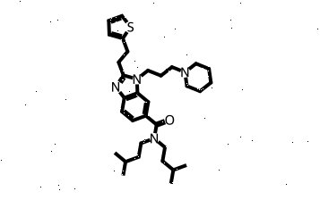 CC(C)CCN(CCC(C)C)C(=O)c1ccc2nc(CCc3cccs3)n(CCCN3CCCCC3)c2c1